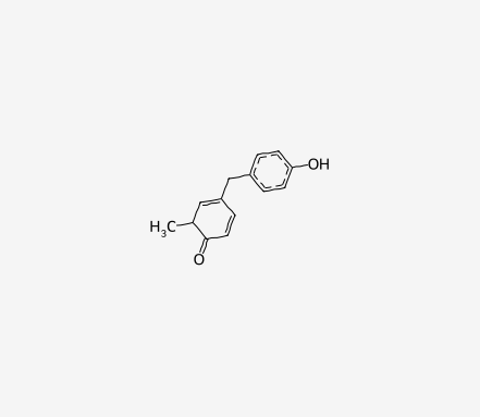 CC1C=C(Cc2ccc(O)cc2)C=CC1=O